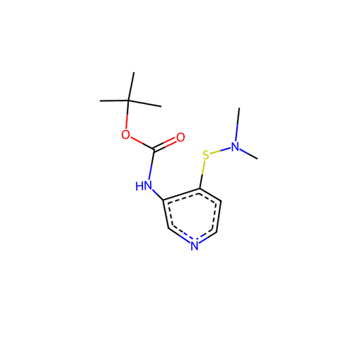 CN(C)Sc1ccncc1NC(=O)OC(C)(C)C